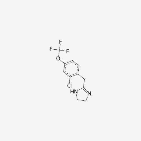 FC(F)(F)Oc1ccc(CC2=NCCN2)c(Cl)c1